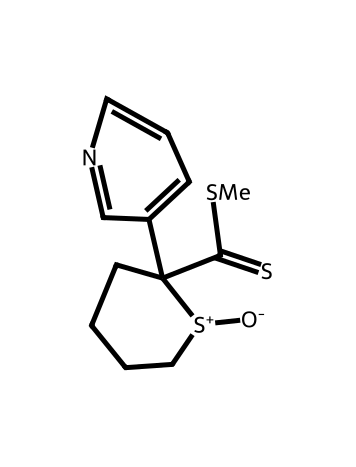 CSC(=S)C1(c2cccnc2)CCCC[S+]1[O-]